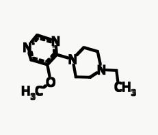 CCN1CCN(c2ncncc2OC)CC1